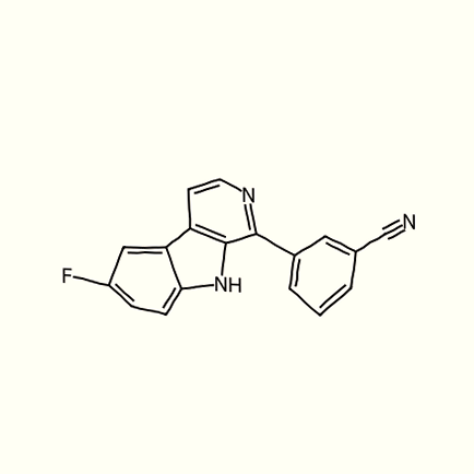 N#Cc1cccc(-c2nccc3c2[nH]c2ccc(F)cc23)c1